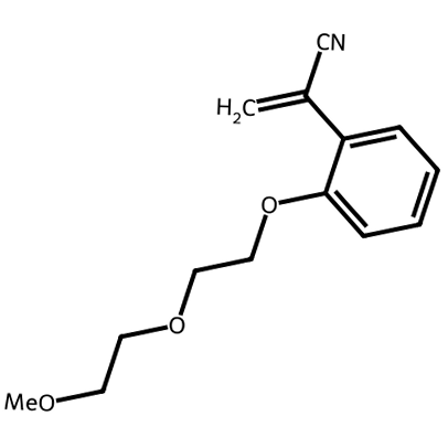 C=C(C#N)c1ccccc1OCCOCCOC